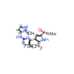 COC(=O)c1cc(-c2nc(Nc3ccnn3C)ncc2C)c[nH]1